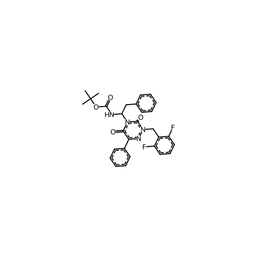 CC(C)(C)OC(=O)NC(Cc1ccccc1)n1c(=O)c(-c2ccccc2)nn(Cc2c(F)cccc2F)c1=O